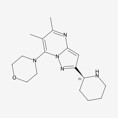 Cc1nc2cc([C@@H]3CCCCN3)nn2c(N2CCOCC2)c1C